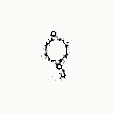 CC(=O)Nc1c(C)nn(Cc2ccc(C[C@H]3OC(=O)[C@H](CC(C)C)N(C)C(=O)[C@@H](C)OC(=O)[C@H](CC(C)C)N(C)C(=O)[C@@H](Cc4ccccc4)OC(=O)[C@H](CC(C)C)N(C)C(=O)[C@@H](C)OC(=O)[C@H](CC(C)C)N(C)C3=O)cc2)c1C